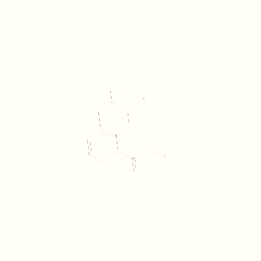 CCCCOC(=O)c1cccc2c1OB(O)C(C)C2